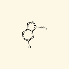 Nn1ncc2ccc(Cl)cc21